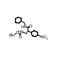 CC(C)(C)OC(=O)NC[C@@H](C(=O)NCc1ccccc1)c1ccc([N+](=O)[O-])cc1